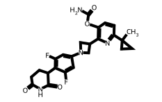 CC1(c2ccc(OC(N)=O)c(C3CN(c4cc(F)c(C5CCC(=O)NC5=O)c(F)c4)C3)n2)CC1